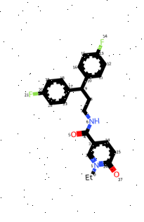 CCn1cc(C(=O)NCCC(c2ccc(F)cc2)c2ccc(F)cc2)ccc1=O